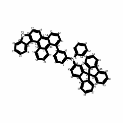 c1ccc(N(c2cccc(-c3cccc4c5ccc6oc7ccccc7c6c5c5ccccc5c34)c2)c2ccc3c(c2)C2(c4ccccc4-c4ccccc42)c2ccccc2-3)cc1